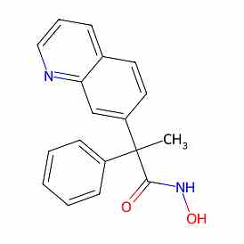 CC(C(=O)NO)(c1ccccc1)c1ccc2cccnc2c1